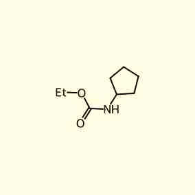 CCOC(=O)NC1CCCC1